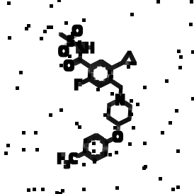 CS(=O)(=O)NC(=O)c1cc(C2CC2)c(CN2CCC(Oc3ccc(C(F)(F)F)cc3)CC2)cc1F